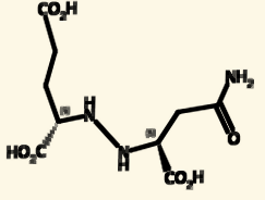 NC(=O)C[C@H](NN[C@@H](CCC(=O)O)C(=O)O)C(=O)O